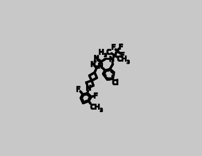 Cc1ccc(F)c(N2CC3(CC(c4nnc5n4-c4ccc(Cl)cc4CN(C(C)(C)C(F)(F)F)C5)C3)C2)c1F